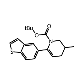 CC1CC=C(c2ccc3sccc3c2)N(C(=O)OC(C)(C)C)C1